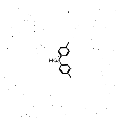 Cc1cc[c]([GaH][c]2ccc(C)cc2)cc1